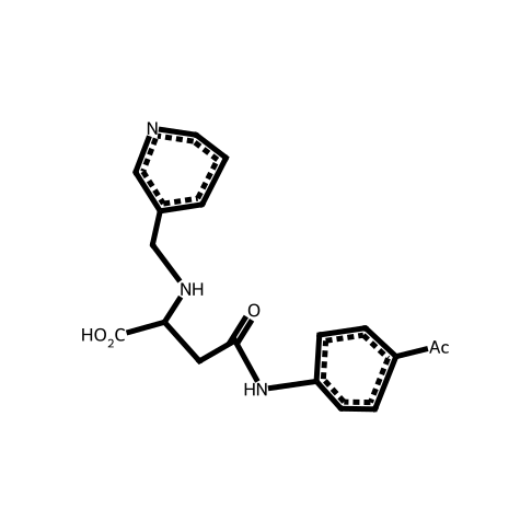 CC(=O)c1ccc(NC(=O)CC(NCc2cccnc2)C(=O)O)cc1